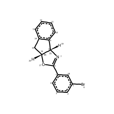 Brc1cccc(C2=N[C@H]3c4ccccc4C[C@H]3O2)c1